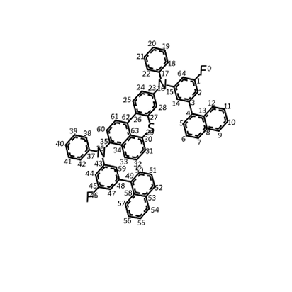 Fc1cc(-c2cccc3ccccc23)cc(N(c2ccccc2)c2ccc3c(c2)Sc2cccc4c(N(c5ccccc5)c5cc(F)cc(-c6cccc7ccccc67)c5)ccc-3c24)c1